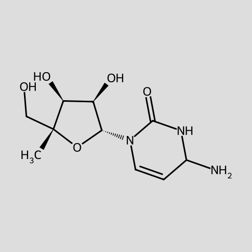 C[C@]1(CO)O[C@@H](N2C=CC(N)NC2=O)[C@H](O)[C@@H]1O